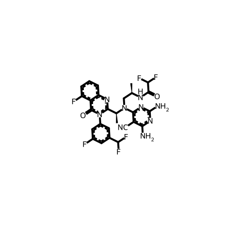 C[C@H](CN(c1nc(N)nc(N)c1C#N)[C@@H](C)c1nc2cccc(F)c2c(=O)n1-c1cc(F)cc(C(F)F)c1)NC(=O)C(F)F